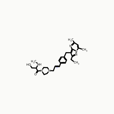 CCc1nn2c(C)cc(C)nc2c1Cc1ccc(/C=C/CN2CCN(C(=O)C(CO)NC)CC2)cc1